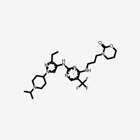 CCc1nn(C2CCN(C(C)C)CC2)cc1Nc1ncc(C(F)(F)F)c(NCCCN2CCCOC2=O)n1